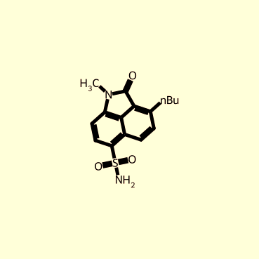 CCCCc1ccc2c(S(N)(=O)=O)ccc3c2c1C(=O)N3C